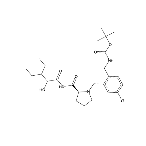 CCC(CC)C(O)C(=O)NC(=O)[C@@H]1CCCN1Cc1cc(Cl)ccc1CNC(=O)OC(C)(C)C